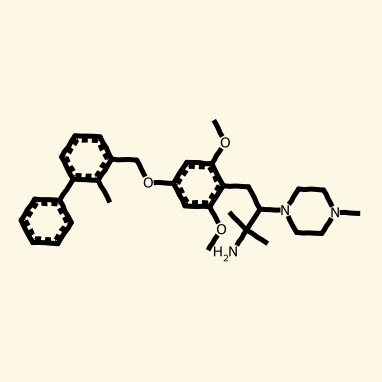 COc1cc(OCc2cccc(-c3ccccc3)c2C)cc(OC)c1CC(N1CCN(C)CC1)C(C)(C)N